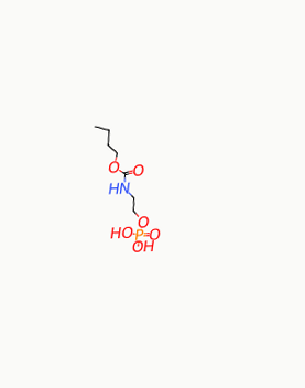 CCCCOC(=O)NCCOP(=O)(O)O